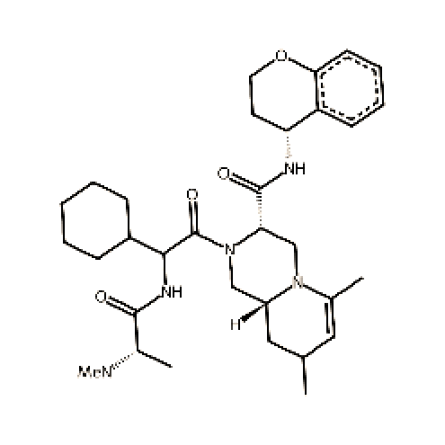 CN[C@@H](C)C(=O)NC(C(=O)N1C[C@H]2CC(C)C=C(C)N2C[C@H]1C(=O)N[C@@H]1CCOc2ccccc21)C1CCCCC1